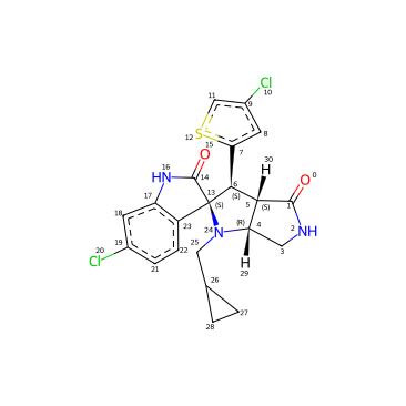 O=C1NC[C@H]2[C@@H]1[C@H](c1cc(Cl)cs1)[C@]1(C(=O)Nc3cc(Cl)ccc31)N2CC1CC1